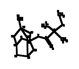 CCC(C)(C)C(=O)CC12CC3CC(CC(O)(C3)C1)C2